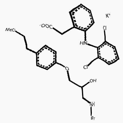 COCCc1ccc(OCC(O)CNC(C)C)cc1.O=C([O-])Cc1ccccc1Nc1c(Cl)cccc1Cl.[K+]